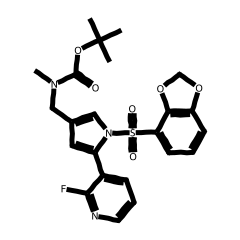 CN(Cc1cc(-c2cccnc2F)n(S(=O)(=O)c2cccc3c2OCO3)c1)C(=O)OC(C)(C)C